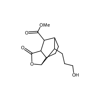 COC(=O)C1C2CCC3C(OC(=O)C31)C2CCCO